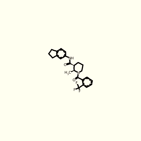 C[C@H]1[C@@H](C(=O)Nc2ccc3c(c2)CCC3)CCCN1C(=O)c1ccccc1C(F)(F)F